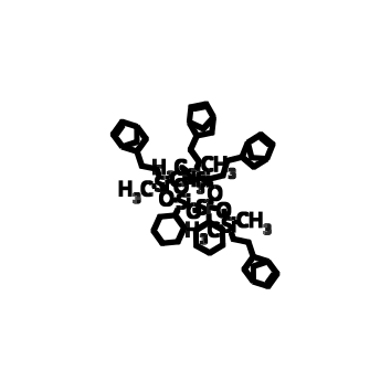 C[Si](C)(CCC1CC2C=CC1C2)O[Si]1(C2CCCCC2)O[Si](O[Si](C)(C)CCC2CC3C=CC2C3)(C2CCCCC2)O[Si](C)(CCC2CC3C=CC2C3)[Si](C)(CCC2CC3C=CC2C3)O1